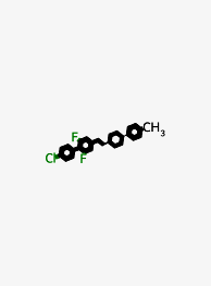 Cc1ccc([C@H]2CC[C@H](CCc3cc(F)c(-c4ccc(Cl)cc4)c(F)c3)CC2)cc1